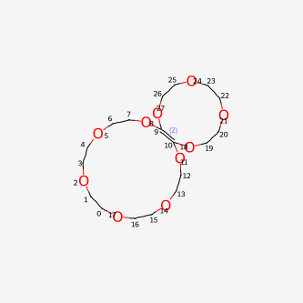 C1COCCOCCO/C2=C(\OCCOCCO1)OCCOCCOCCO2